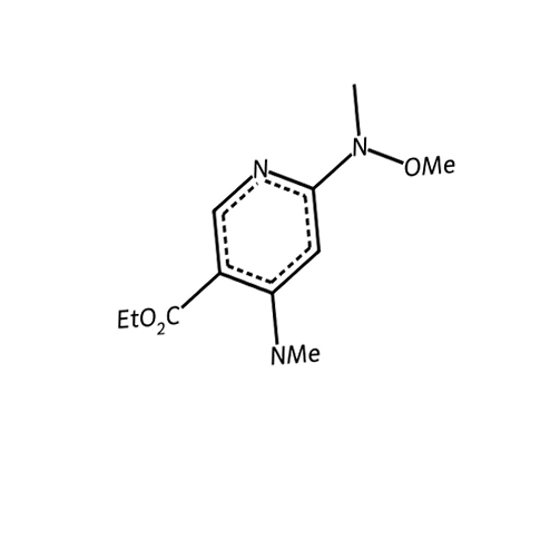 CCOC(=O)c1cnc(N(C)OC)cc1NC